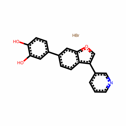 Br.Oc1ccc(-c2ccc3c(-c4cccnc4)coc3c2)cc1O